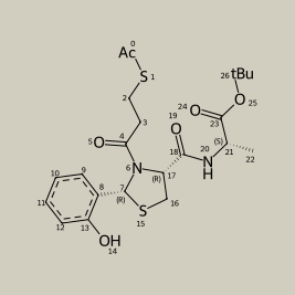 CC(=O)SCCC(=O)N1[C@@H](c2ccccc2O)SC[C@H]1C(=O)N[C@@H](C)C(=O)OC(C)(C)C